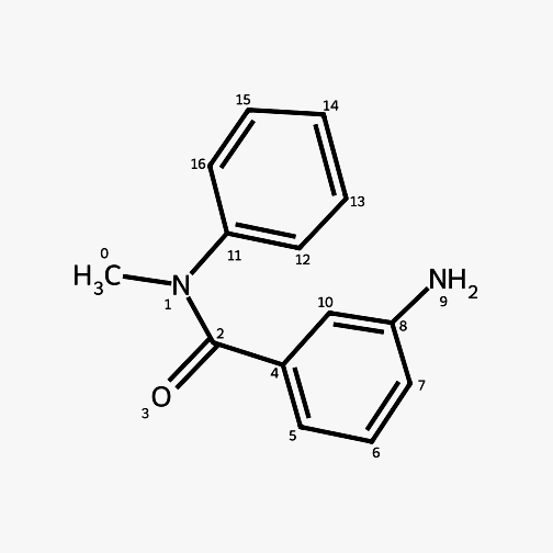 CN(C(=O)c1cccc(N)c1)c1ccccc1